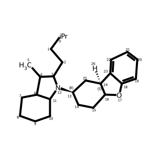 CC(C)CCC1C(C)C2CCCCC2N1[C@@H]1CCC2Oc3ccccc3[C@@H]2C1